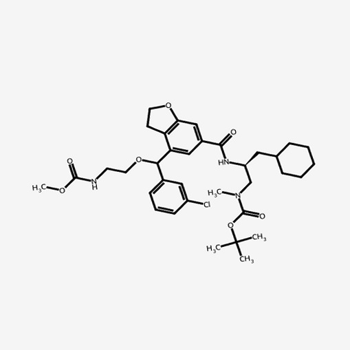 COC(=O)NCCOC(c1cccc(Cl)c1)c1cc(C(=O)N[C@@H](CC2CCCCC2)CN(C)C(=O)OC(C)(C)C)cc2c1CCO2